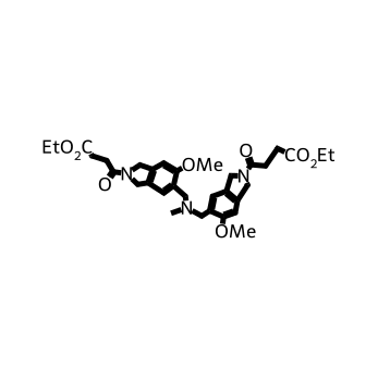 CCOC(=O)CCC(=O)N1Cc2cc(CN(C)Cc3cc4c(cc3OC)CN(C(=O)CCC(=O)OCC)C4)c(OC)cc2C1